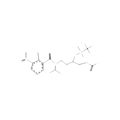 CC(C)N(CCC(CNC(=O)O)O[Si](C)(C)C(C)(C)C)C(=O)c1cccc([N+](=O)[O-])c1F